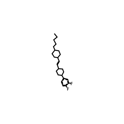 CCCCCC1CCC(/C=C/C2CCC(c3ccc(F)c(F)c3)CC2)CC1